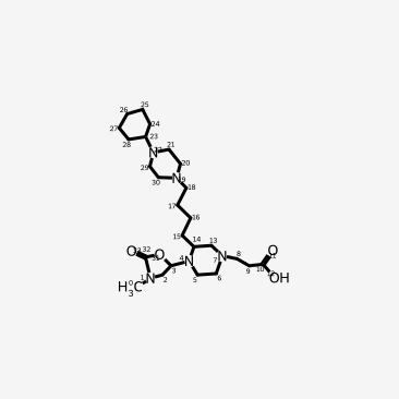 CN1CC(N2CCN(CCC(=O)O)CC2CCCCN2CCN(C3CCCCC3)CC2)OC1=O